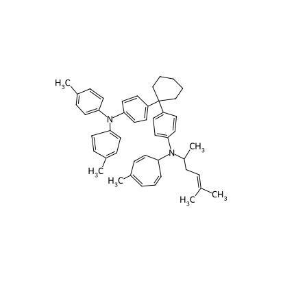 CC(C)=CCC(C)N(c1ccc(C2(c3ccc(N(c4ccc(C)cc4)c4ccc(C)cc4)cc3)CCCCC2)cc1)C1C=CC=C(C)C=C1